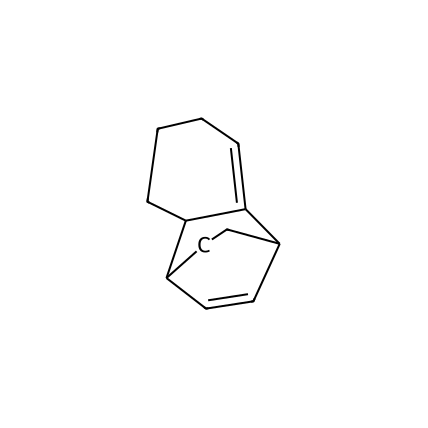 C1=CC2CCC1C1=CCCCC12